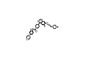 CN1CCN(CCCOc2cc3ncnc(C4CCN(C(=O)Nc5ccc(N6CCOCC6)cc5)CC4)c3cc2F)CC1